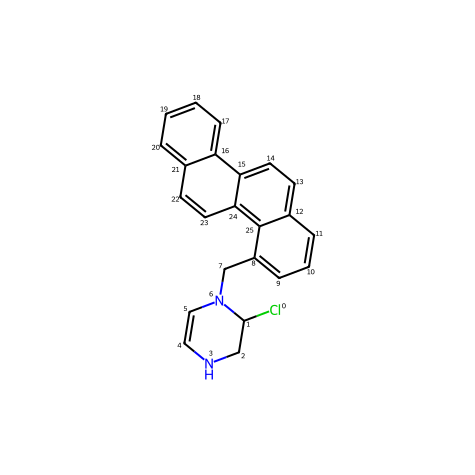 ClC1CNC=CN1Cc1cccc2ccc3c4ccccc4ccc3c12